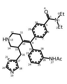 CCN(CC)C(=O)c1ccc(C(=C2CCNCC2Cc2cncs2)c2cccc(NC(C)=O)c2)cc1